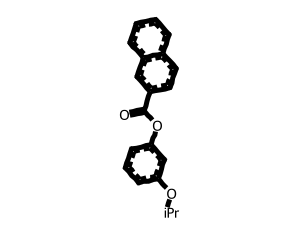 CC(C)Oc1cccc(OC(=O)c2ccc3ccccc3c2)c1